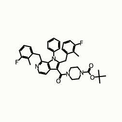 Cc1c(F)cccc1Cc1nccc2c(C(=O)N3CCN(C(=O)OC(C)(C)C)CC3)c(Cc3cccc(F)c3C)n(-c3ccccc3)c12